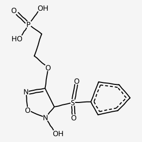 O=P(O)(O)CCOC1=NON(O)C1S(=O)(=O)c1ccccc1